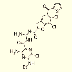 CCNc1nc(N)c(C(=O)NC(N)=NC(=O)C2Cc3cc(C(=O)c4cccs4)c(Cl)c(Cl)c3O2)nc1Cl